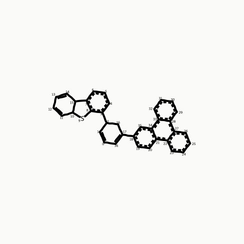 C1=CC(c2cccc3c2SC2C=CC=CC32)CC(c2ccc3c4ccccc4c4ccccc4c3c2)=C1